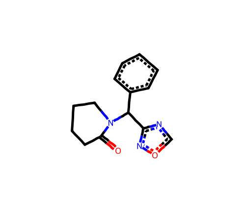 O=C1CCCCN1C(c1ccccc1)c1ncon1